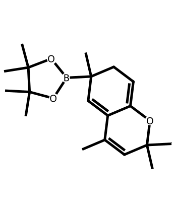 CC1=CC(C)(C)OC2=CCC(C)(B3OC(C)(C)C(C)(C)O3)C=C12